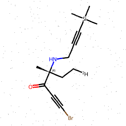 [2H]CC[C@@](C)(NCC#C[Si](C)(C)C)C(=O)C#CBr